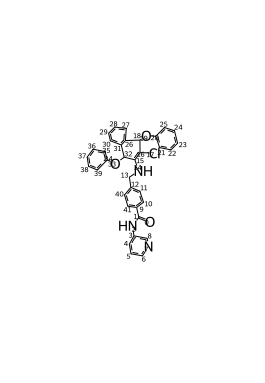 O=C(Nc1cccnc1)c1ccc(CNC2=C(Cl)C(Oc3ccccc3)c3ccccc3C2Oc2ccccc2)cc1